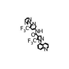 O=C(Nc1cnc(-n2nccn2)c(C(F)(F)F)c1)c1cnn(-c2cccc3ncccc23)c1C(F)(F)F